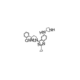 COc1ccccc1C1CCN(c2nc(C3CC3)nc3ccc(NC4CCNC4)cc23)CC1